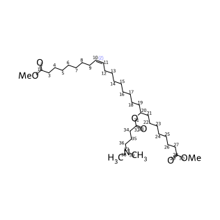 COC(=O)CCCCCCC/C=C\CCCCCCCCC(CCCCCCCC(=O)OC)OC(=O)CCCN(C)C